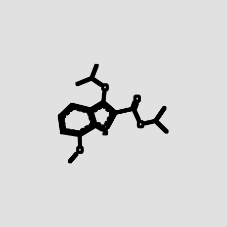 COc1cccc2c(OC(C)C)c(C(=O)OC(C)C)sc12